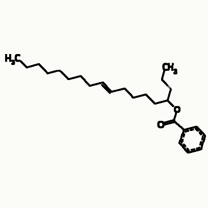 CCCCCCCCC=CCCCCC(CCC)OC(=O)c1ccccc1